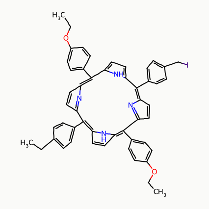 CCOc1ccc(-c2c3nc(c(-c4ccc(CI)cc4)c4ccc([nH]4)c(-c4ccc(OCC)cc4)c4nc(c(-c5ccc(CC)cc5)c5ccc2[nH]5)C=C4)C=C3)cc1